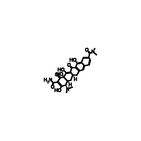 CN(C)C(=O)c1ccc2cc3c(c(O)c2c1)C(=O)C1=C(O)[C@]2(O)C(=O)C(C(N)=O)=C(O)[C@@H](N(C)C)[C@@H]2C[C@@H]1C3